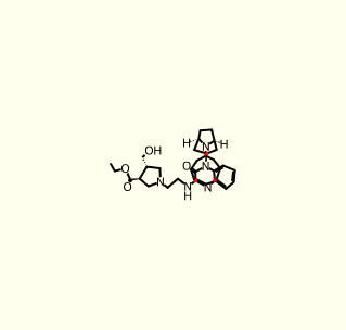 CCOC(=O)[C@@H]1CN(CCNc2nc3ccccc3n([C@H]3C[C@H]4CC[C@@H](C3)N4C3CCCCCCC3)c2=O)C[C@H]1CO